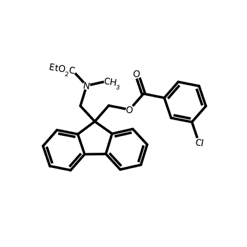 CCOC(=O)N(C)CC1(COC(=O)c2cccc(Cl)c2)c2ccccc2-c2ccccc21